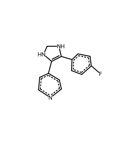 Fc1ccc(C2=C(c3ccncc3)NCN2)cc1